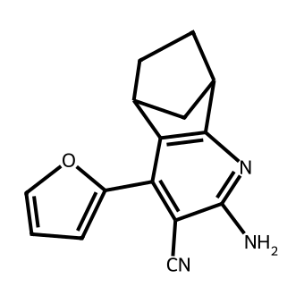 N#Cc1c(N)nc2c(c1-c1ccco1)C1CCC2C1